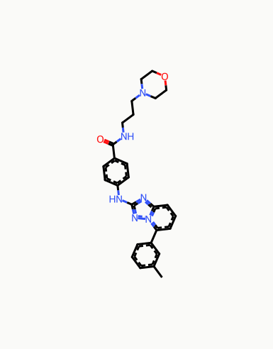 Cc1cccc(-c2cccc3nc(Nc4ccc(C(=O)NCCCN5CCOCC5)cc4)nn23)c1